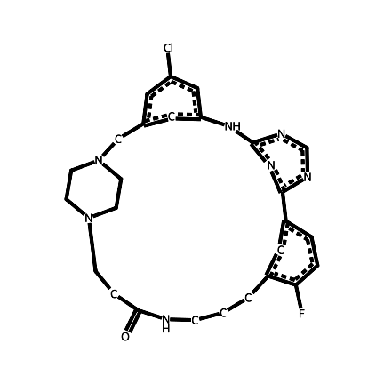 O=C1CCN2CCN(CC2)Cc2cc(Cl)cc(c2)Nc2ncnc(n2)-c2ccc(F)c(c2)CCCN1